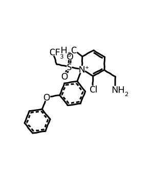 CC1C=CC(CN)=C(Cl)[N+]1(c1cccc(Oc2ccccc2)c1)S(=O)(=O)CC(F)(F)F